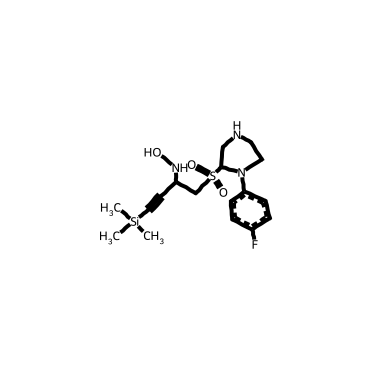 C[Si](C)(C)C#CC(CS(=O)(=O)C1CNCCN1c1ccc(F)cc1)NO